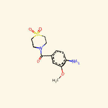 COc1cc(C(=O)N2CCS(=O)(=O)CC2)ccc1N